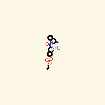 C=CCOC(=O)Oc1ccc(CC(N)C(=O)N2CC(C)Cc3ccccc32)c(C)c1